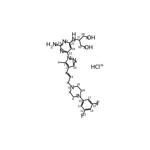 Cc1c(C=CCN2CCN(c3cc(F)cc(F)c3)CC2)cnn1-c1cc(NC(CO)CO)nc(N)n1.Cl